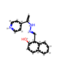 C=C(N/N=C/c1c(O)ccc2ccccc12)c1ccncc1